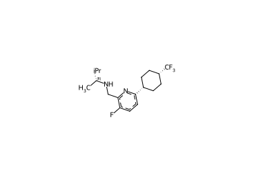 CC(C)[C@@H](C)NCc1nc([C@H]2CC[C@@H](C(F)(F)F)CC2)ccc1F